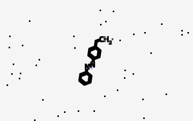 [CH2]Cc1ccc(/N=N/c2ccccc2)cc1